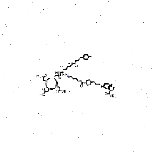 Cc1ccc(CCCC(=O)NCCCC[C@@H](N/N=C/CCCCCC(=O)N2CCC(CCCOc3ccc4nccc(C(N)=O)c4c3)CC2)NC(=O)CN2CCN(CC(=O)O)CCN(CC(=O)O)CCN(CC(=O)O)CC2)cc1